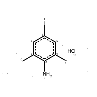 Cc1cc(I)cc(C)c1N.Cl